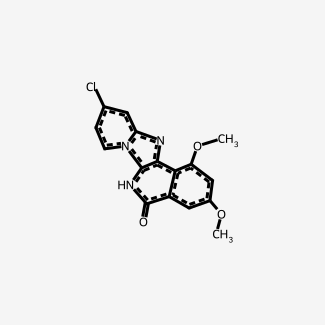 COc1cc(OC)c2c(c1)c(=O)[nH]c1c2nc2cc(Cl)ccn21